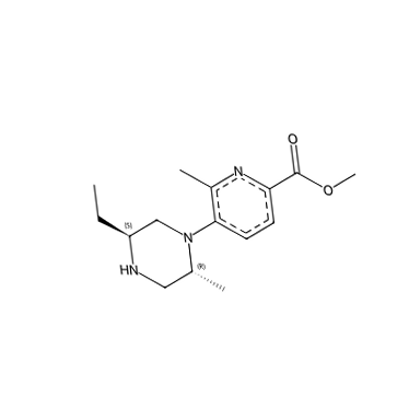 CC[C@H]1CN(c2ccc(C(=O)OC)nc2C)[C@H](C)CN1